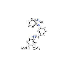 COc1ccc(NCc2cccc(-n3cnc4ccccc43)c2)cc1OC